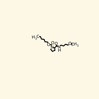 CCCCCCOC(=O)N1CCCC1C(=O)NCCCCOC